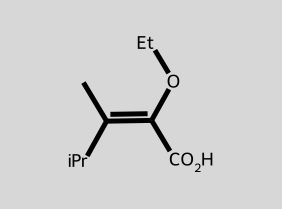 CCOC(C(=O)O)=C(C)C(C)C